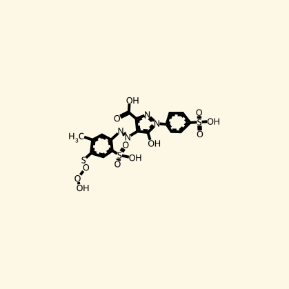 Cc1cc(/N=N/c2c(C(=O)O)nn(-c3ccc(S(=O)(=O)O)cc3)c2O)c(S(=O)(=O)O)cc1SOOO